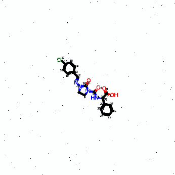 O=C(O)[C@H](NC(=O)N1CCN(N=Cc2ccc(Cl)cc2)C1=O)c1ccccc1